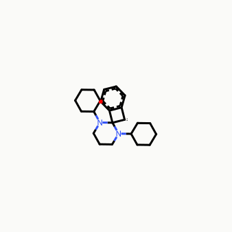 [C]1c2ccccc2C12N(C1CCCCC1)CCCN2C1CCCCC1